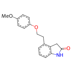 COc1ccc(OCCc2cccc3c2CC(=O)N3)cc1